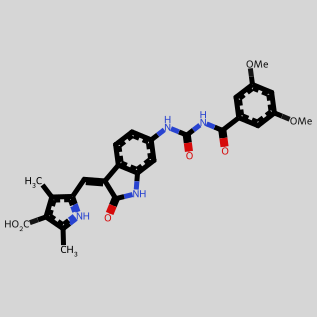 COc1cc(OC)cc(C(=O)NC(=O)Nc2ccc3c(c2)NC(=O)/C3=C\c2[nH]c(C)c(C(=O)O)c2C)c1